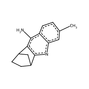 Cc1ccc2c(N)c3c(nc2c1)C1CCC3C1